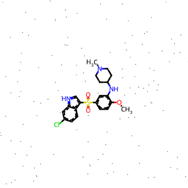 COc1ccc(S(=O)(=O)c2c[nH]c3cc(Cl)ccc23)cc1NC1CCN(C)CC1